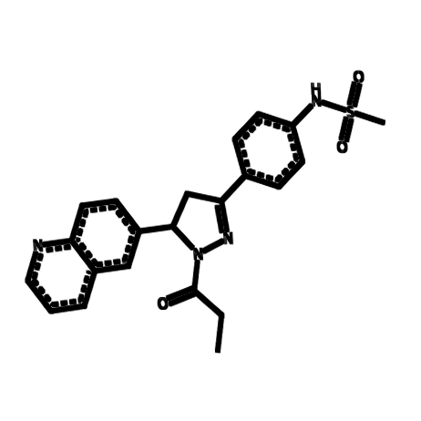 CCC(=O)N1N=C(c2ccc(NS(C)(=O)=O)cc2)CC1c1ccc2ncccc2c1